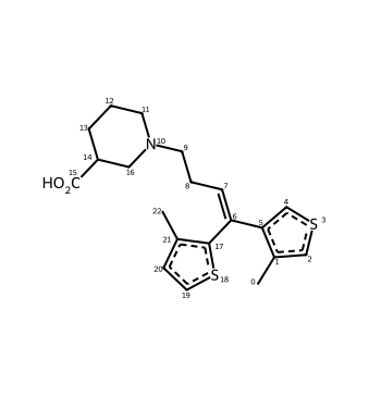 Cc1cscc1/C(=C/CCN1CCCC(C(=O)O)C1)c1sccc1C